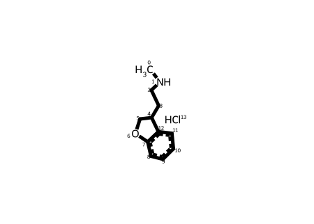 CNCCC1COc2ccccc21.Cl